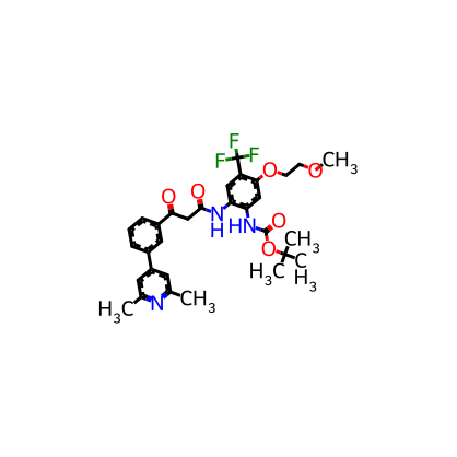 COCCOc1cc(NC(=O)OC(C)(C)C)c(NC(=O)CC(=O)c2cccc(-c3cc(C)nc(C)c3)c2)cc1C(F)(F)F